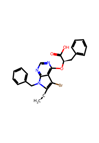 CCc1c(Br)c2c(O[C@H](Cc3ccccc3)C(=O)O)ncnc2n1Cc1ccccc1